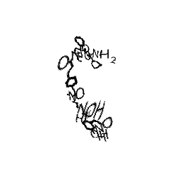 CN(CCCNC[C@H](O)c1ccc(O)c2[nH]c(=O)ccc12)C(=O)c1ccc(CCC(=O)N2CCC(C(=O)O[C@@H](CN)C3CCCCC3)(c3ccccc3)CC2)cc1